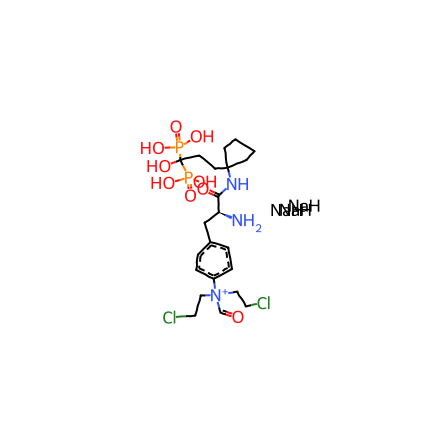 N[C@@H](Cc1ccc([N+](C=O)(CCCl)CCCl)cc1)C(=O)NC1(CCC(O)(P(=O)(O)O)P(=O)(O)O)CCCC1.[NaH].[NaH].[NaH]